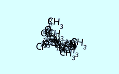 CCCCOOC(=O)Cc1c(C)cc2nc(N3CCN(C(C)C)C(c4ccc5c(cnn5C)c4)C3)sc2c1-c1ccc(Cl)cc1